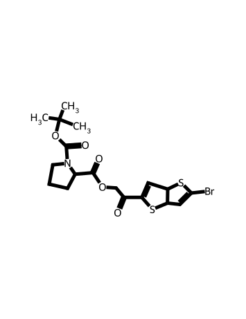 CC(C)(C)OC(=O)N1CCCC1C(=O)OCC(=O)C1=CC2SC(Br)=CC2S1